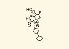 CC1(C)OC(N[C@@H](CCO)c2cccc(F)c2Cl)=NS(=O)(=O)C1c1ccc(-c2ccccc2)cc1